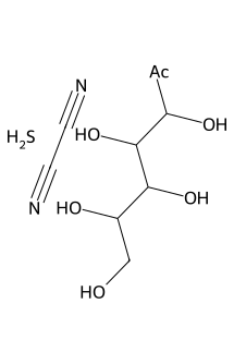 CC(=O)C(O)C(O)C(O)C(O)CO.N#CC#N.S